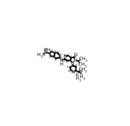 CC(C)n1c(=O)c2cnc(Nc3ccc4c(c3)CC(N(C)C)C4)cc2n1-c1ccnc(C(C)(C)C)c1